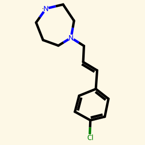 Clc1ccc(C=CCN2CCC[N]CC2)cc1